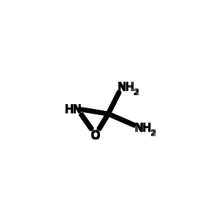 NC1(N)NO1